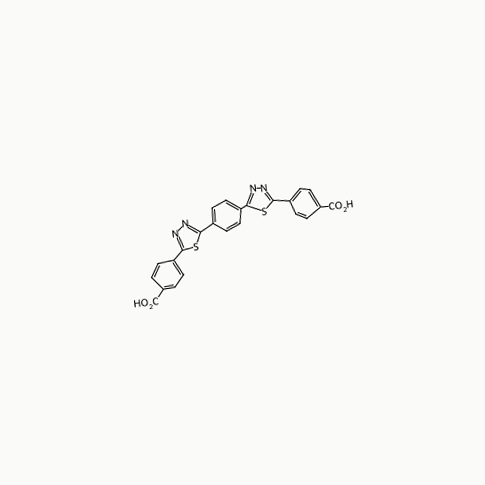 O=C(O)c1ccc(-c2nnc(-c3ccc(-c4nnc(-c5ccc(C(=O)O)cc5)s4)cc3)s2)cc1